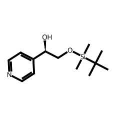 CC(C)(C)[Si](C)(C)OC[C@H](O)c1ccncc1